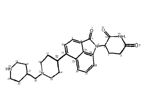 O=C1CCC(N2C(=O)c3ccc(C4CCN(CC5CCNCC5)CC4)c4cccc2c34)C(=O)N1